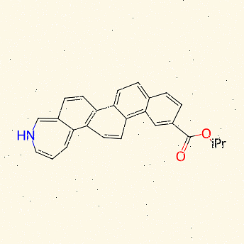 CC(C)OC(=O)c1ccc2ccc3c4ccc5c(c4ccc3c2c1)=CC=CNC=5